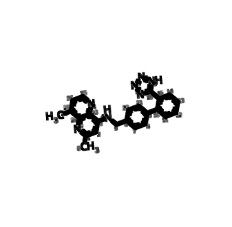 Cc1cc(NCc2ccc(-c3ccccc3-c3nnn[nH]3)cc2)c2nccc(C)c2n1